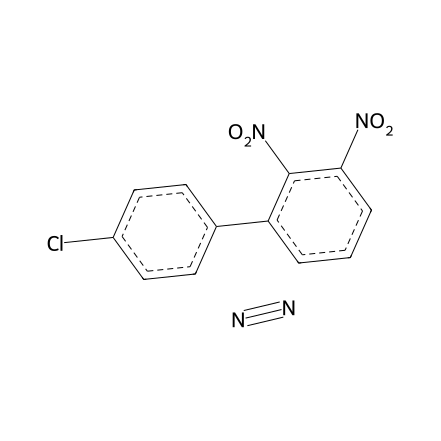 N#N.O=[N+]([O-])c1cccc(-c2ccc(Cl)cc2)c1[N+](=O)[O-]